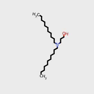 CCCCCCCCCCCN(CCCO)CCCCCCCCCCC